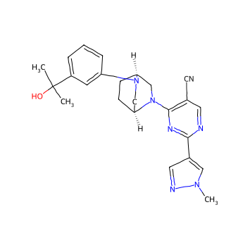 Cn1cc(-c2ncc(C#N)c(N3C[C@@H]4CC[C@H]3CN4c3cccc(C(C)(C)O)c3)n2)cn1